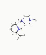 CC(C)c1cccc(CN2CCN(C)CC2)n1